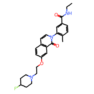 CCNC(=O)c1ccc(C)c(-n2ccc3ccc(OCCN4CCC(F)CC4)cc3c2=O)c1